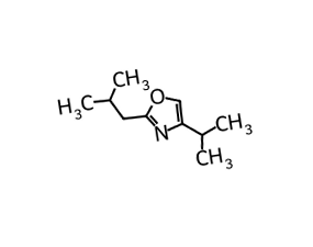 CC(C)Cc1nc(C(C)C)co1